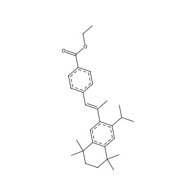 CCOC(=O)c1ccc(/C=C(\C)c2cc3c(cc2C(C)C)C(C)(C)CCC3(C)C)cc1